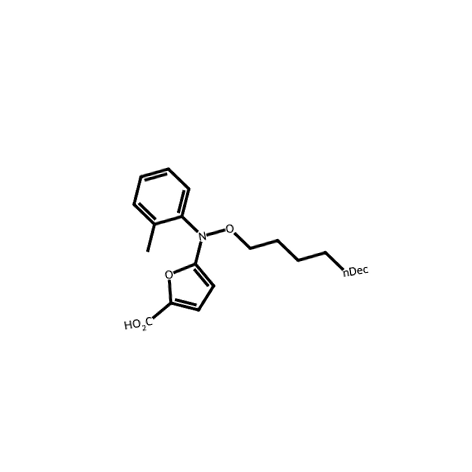 CCCCCCCCCCCCCCON(c1ccc(C(=O)O)o1)c1ccccc1C